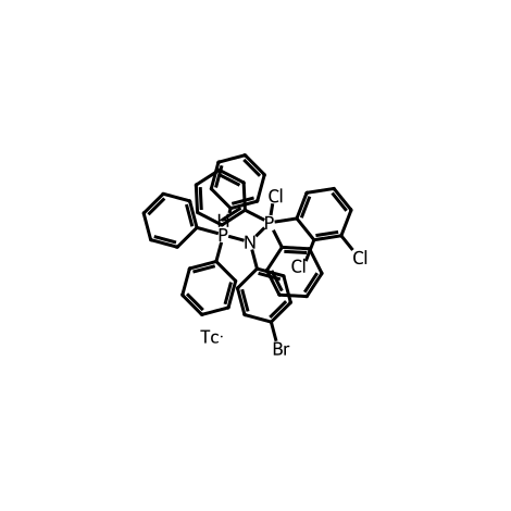 Clc1cccc(P(Cl)(c2ccccc2)(c2ccccc2)N(c2ccc(Br)cc2)[PH](c2ccccc2)(c2ccccc2)c2ccccc2)c1Cl.[Tc]